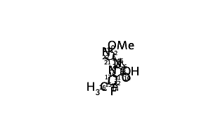 COc1cc(N2CCC3(O)C(=O)c4cc(F)c(C)cc4N=C23)ccn1